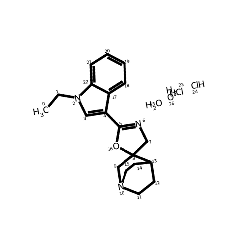 CCn1cc(C2=NCC3(CN4CCC3CC4)O2)c2ccccc21.Cl.Cl.O.O